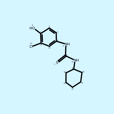 Oc1ccc(NC(=S)NC2CCCCC2)cc1Cl